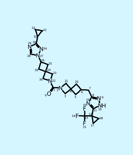 O=C(N1CC2(CC(Cc3n[nH]c(C4(C(F)(F)F)CC4)n3)C2)C1)N1CC2(CC(n3cnc(C4CC4)n3)C2)C1